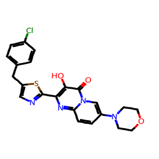 O=c1c(O)c(-c2ncc(Cc3ccc(Cl)cc3)s2)nc2ccc(N3CCOCC3)cn12